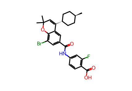 CC1(C)C=C([C@H]2CC[C@H](C)CC2)c2cc(C(=O)Nc3ccc(C(=O)O)c(F)c3)cc(Br)c2O1